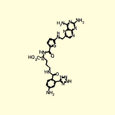 Nc1ccc(C(=O)NCCC[C@H](NC(=O)c2ccc(NCc3cnc4nc(N)nc(N)c4n3)s2)C(=O)O)c(-c2nn[nH]n2)c1